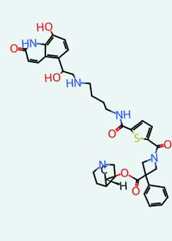 O=C(NCCCCNCC(O)c1ccc(O)c2[nH]c(=O)ccc12)c1ccc(C(=O)N2CC(C(=O)O[C@H]3CN4CCC3CC4)(c3ccccc3)C2)s1